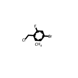 C.Fc1cc(Br)ccc1CCl